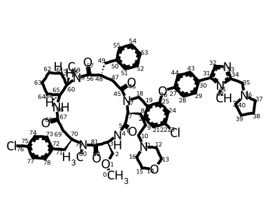 COC[C@@H]1NC(=O)[C@H](CCCN2CCOCC2)N(Cc2ccc(Cl)cc2Oc2ccc(-c3cnc(CN4CCCC4)n3C)cc2)C(=O)C[C@@H](Cc2ccccc2)C(=O)N(C)[C@H]2CCCC[C@@H]2NC(=O)C[C@H](Cc2ccc(Cl)cc2)N(C)C1=O